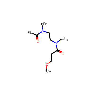 CCCOCCC(=O)N(C)CCN(CCC)C(=O)CC